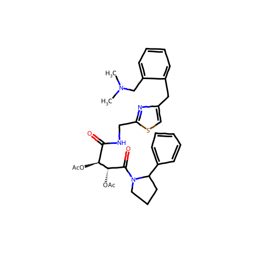 CC(=O)O[C@@H](C(=O)NCc1nc(Cc2ccccc2CN(C)C)cs1)[C@@H](OC(C)=O)C(=O)N1CCCC1c1ccccc1